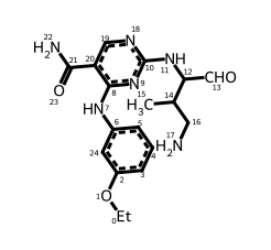 CCOc1cccc(Nc2nc(NC(C=O)C(C)CN)ncc2C(N)=O)c1